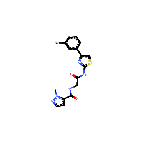 Cn1nccc1C(=O)NCC(=O)Nc1nc(-c2cccc(C#N)c2)cs1